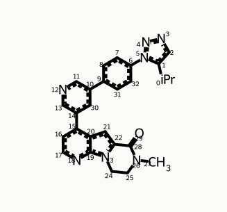 CC(C)c1cnnn1-c1ccc(-c2cncc(-c3ccnc4c3cc3n4CCN(C)C3=O)c2)cc1